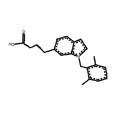 Cc1cccc(C)c1Cn1ccc2ccc(CCCC(=O)O)cc21